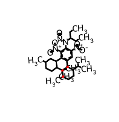 CCC(CC)N(N=O)c1c([N+](=O)[O-])cc(C2CC(C)CCC2C(C)C)c(C2CC(C)CCC2C(C)C)c1[N+](=O)[O-]